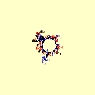 CC[C@H](C)[C@@H]1NC(=O)[C@@H](CCCNC(=N)N)NC(=O)[C@H](CC(C)C)NC(=O)[C@H]([C@H](O)C(C)C)NC(=O)C(NC(=O)[C@H](CC(C)(C)C)NC(=O)[C@@H](CC(C)(C)C)NC(=O)OC(C)(C)C)[C@@H](c2ccccc2)NC(=O)[C@H](C)NC(=O)C([C@H](O)C(N)=O)NC(=O)CNC(=O)[C@H]([C@H](C)O)NC1=O